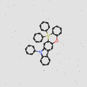 c1ccc(-n2c3ccccc3c3cc4c(cc32)S(c2ccccc2)(c2ccccc2)c2ccccc2O4)cc1